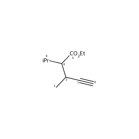 C#CC(C)C(C(=O)OCC)C(C)C